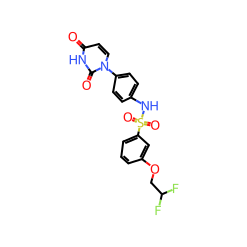 O=c1ccn(-c2ccc(NS(=O)(=O)c3cccc(OCC(F)F)c3)cc2)c(=O)[nH]1